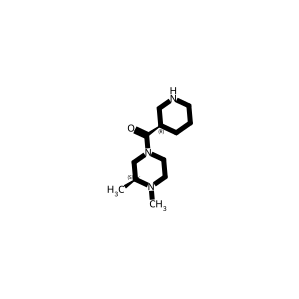 C[C@H]1CN(C(=O)[C@@H]2CCCNC2)CCN1C